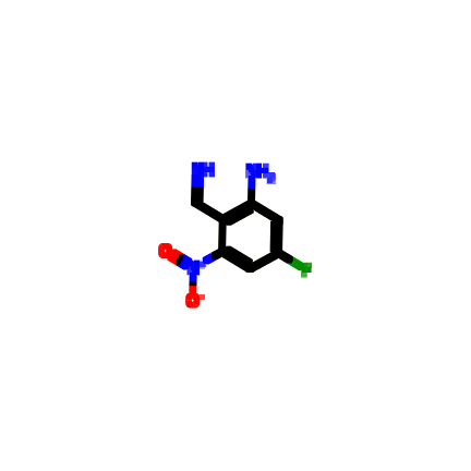 N=Cc1c(N)cc(F)cc1[N+](=O)[O-]